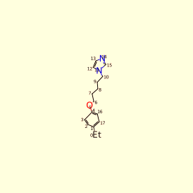 CCc1ccc(OCCCCCn2ccnc2)cc1